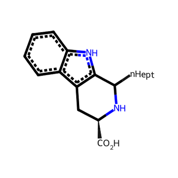 CCCCCCCC1N[C@@H](C(=O)O)Cc2c1[nH]c1ccccc21